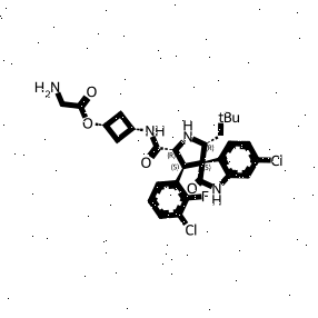 CC(C)(C)C[C@H]1N[C@@H](C(=O)N[C@H]2C[C@@H](OC(=O)CN)C2)[C@H](c2cccc(Cl)c2F)[C@@]12C(=O)Nc1cc(Cl)ccc12